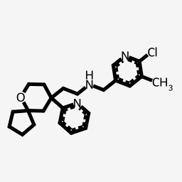 Cc1cc(CNCCC2(c3ccccn3)CCOC3(CCCC3)C2)cnc1Cl